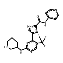 O=C(Nc1ccncc1)c1cc(-c2nc(NC3CCCNC3)ncc2C(F)(F)F)c[nH]1